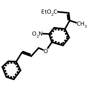 CCOC(=O)/C=C(/C)c1ccc(OC/C=C/c2ccccc2)c([N+](=O)[O-])c1